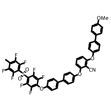 COc1ccc(-c2ccc(Oc3cccc(Oc4ccc(-c5ccc(Oc6c(F)c(F)c(S(=O)(=O)c7c(F)c(F)c(C)c(F)c7F)c(F)c6F)cc5)cc4)c3C#N)cc2)cc1